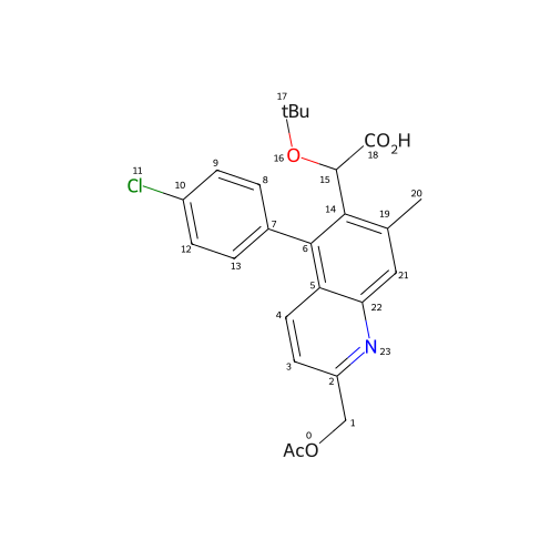 CC(=O)OCc1ccc2c(-c3ccc(Cl)cc3)c(C(OC(C)(C)C)C(=O)O)c(C)cc2n1